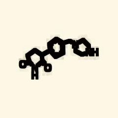 O=C1CCC(c2ccc(CN3CCNCC3)cc2)C(=O)N1